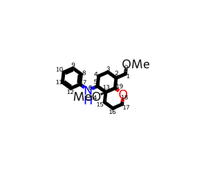 COCC1CCC(Nc2ccccc2)[C@@]2(OC)CCCOC12